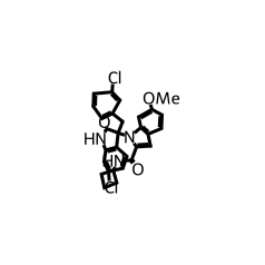 COc1ccc2cc(C(=O)NC3CCC3)n(C3(Cc4cccc(Cl)c4)C(=O)Nc4cc(Cl)ccc43)c2c1